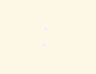 CC(=O)n1cc(C)c2cnc3cc(F)ccc3c21